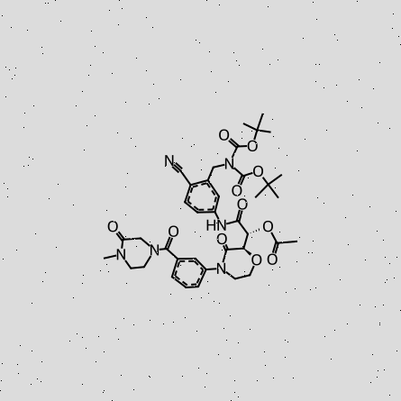 CC(=O)O[C@@H](C(=O)Nc1ccc(C#N)c(CN(C(=O)OC(C)(C)C)C(=O)OC(C)(C)C)c1)[C@H]1OCCN(c2cccc(C(=O)N3CCN(C)C(=O)C3)c2)C1=O